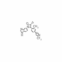 Cc1cc(-n2cnc(C(F)(F)F)c2)ccc1[C@H]1[C@@H](C2CC2)C(=O)N1c1ccc2[nH]cnc2c1